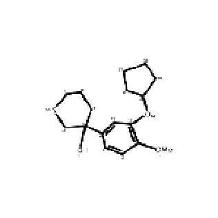 COc1ccc(C2(O)CCCSC2)cc1OC1CCCC1